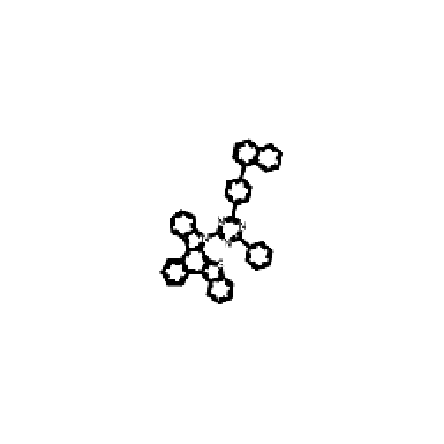 c1ccc(-c2nc(-c3ccc(-c4cccc5ccccc45)cc3)nc(-n3c4ccccc4c4c5ccccc5c5c6ccccc6sc5c43)n2)cc1